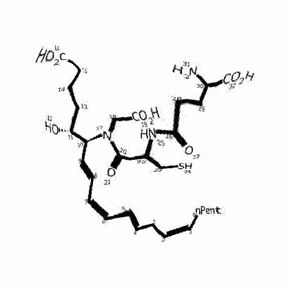 CCCCC/C=C\C/C=C/C=C\C=C\[C@@H]([C@H](O)CCCC(=O)O)N(CC(=O)O)C(=O)C(CS)NC(=O)CCC(N)C(=O)O